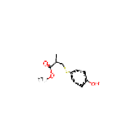 CC(CSc1ccc(O)cc1)C(=O)OC(C)(C)C